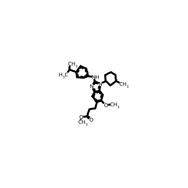 COC(=O)CCc1cc2nc(Nc3ccc(C(C)C)cc3)n(C3CCCC(C)C3)c2cc1OC